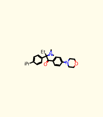 CCC(C(=O)c1ccc(N2CCOCC2)cc1)(c1ccc(C(C)C)cc1)N(C)C